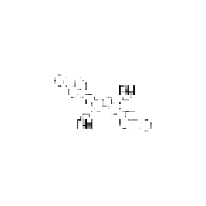 c1ccc(-c2ccc3c4c(cccc24)-c2cc4c(cc2-3)c(-c2ccnnc2)cc2c3cc5c(c(-c6ccnnc6)c3ccc42)-c2ccc(-c3ccccc3)c3cccc-5c23)cc1